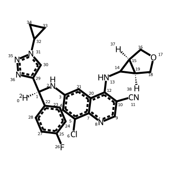 [2H][C@](Nc1cc(Cl)c2ncc(C#N)c(NC3[C@H]4COC[C@@H]34)c2c1)(c1ccc(F)cc1)c1cn(C2CC2)nn1